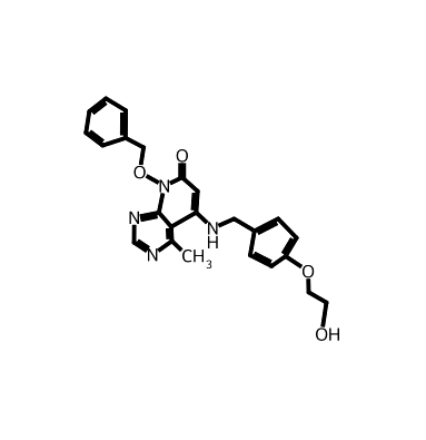 Cc1ncnc2c1c(NCc1ccc(OCCO)cc1)cc(=O)n2OCc1ccccc1